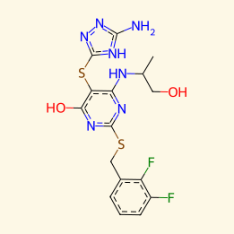 CC(CO)Nc1nc(SCc2cccc(F)c2F)nc(O)c1Sc1nnc(N)[nH]1